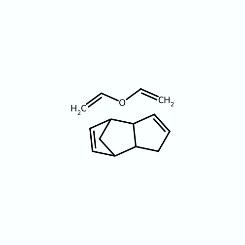 C1=CC2C3C=CC(C3)C2C1.C=COC=C